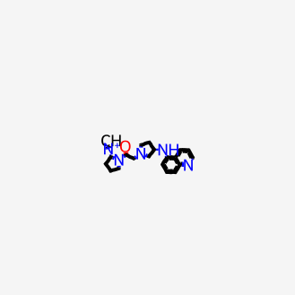 C#[N+][C@@H]1CCCN1C(=O)CN1CC[C@@H](Nc2cccc3ncccc23)C1